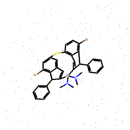 C[N](C)[Zr]1([N](C)C)[C]2=Cc3cc(cc(Br)c3C2c2ccccc2)Sc2ccc(Br)c3c2C=[C]1C3c1ccccc1